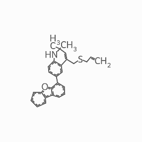 C=CCSCC1=CC(C)(C)Nc2ccc(-c3cccc4c3oc3ccccc34)cc21